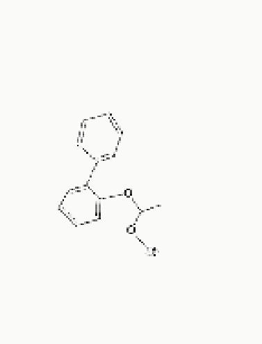 C[CH]OC(C)Oc1ccccc1-c1ccccc1